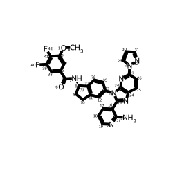 COc1cc(C(=O)N[C@H]2CCc3cc(-n4c(-c5cccnc5N)nc5ccc(-n6cccn6)nc54)ccc32)cc(F)c1F